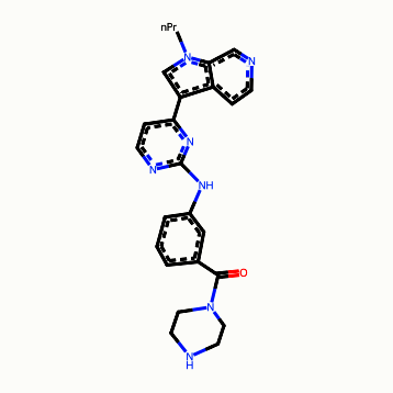 CCCn1cc(-c2ccnc(Nc3cccc(C(=O)N4CCNCC4)c3)n2)c2ccncc21